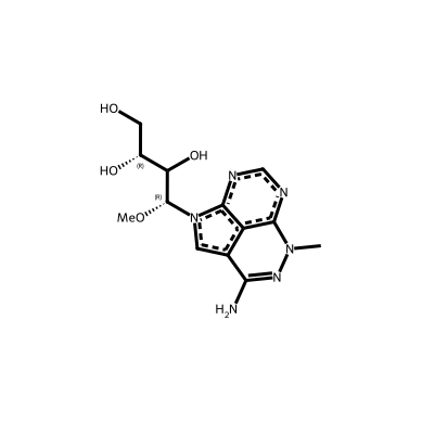 CO[C@H](C(O)[C@H](O)CO)n1cc2c3c(ncnc31)N(C)N=C2N